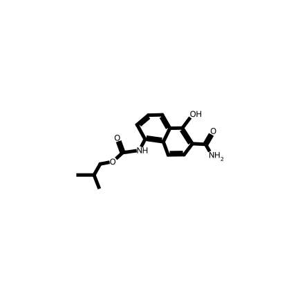 CC(C)COC(=O)Nc1cccc2c(O)c(C(N)=O)ccc12